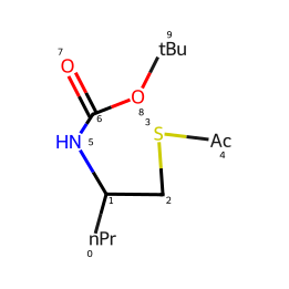 CCCC(CSC(C)=O)NC(=O)OC(C)(C)C